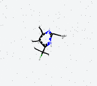 Cc1nc(C(C)(C)C)nc(C(C)(C)F)c1C